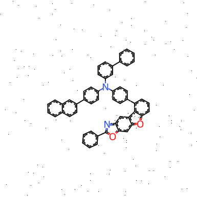 c1ccc(-c2cccc(N(c3ccc(-c4ccc5ccccc5c4)cc3)c3ccc(-c4cccc5oc6cc7oc(-c8ccccc8)nc7cc6c45)cc3)c2)cc1